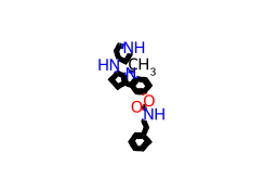 Cn1c2c(c3cc(OC(=O)NCCc4ccccc4)ccc31)CCC2NC1CCNCC1